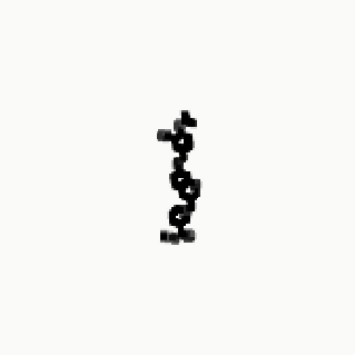 CC(C)Oc1ccc(COc2ccc3c(c2)OCC(CN2CCC=C(C(=O)O)C2)=C3)cc1Cl